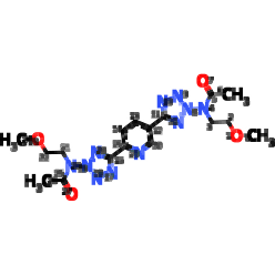 COCCN(C(C)=O)n1nnc(-c2ccc(-c3nnn(N(CCOC)C(C)=O)n3)nc2)n1